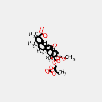 COCO[C@H]1CC[C@@]2(C)[C@@H](CC[C@]3(C)[C@@H]2C(=O)C=C2[C@@H]4C[C@@](C)(C(=O)O)CC[C@]4(C)CC[C@]23C)[C@]1(C)C(=O)OCc1oc(=O)oc1C